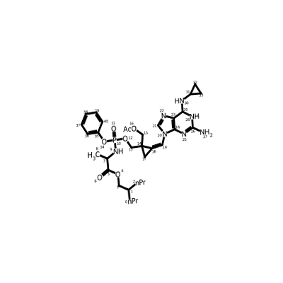 CCCC(CCC)COC(=O)C(C)NP(=O)(OCC1(COC(C)=O)C/C1=C/n1cnc2c1N=C(N)NC2NC1CC1)Oc1ccccc1